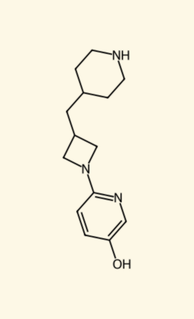 Oc1ccc(N2CC(CC3CCNCC3)C2)nc1